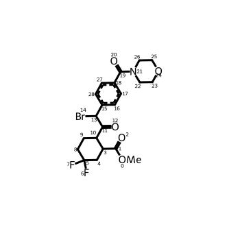 COC(=O)C1CC(F)(F)CCC1C(=O)C(Br)c1ccc(C(=O)N2CCOCC2)cc1